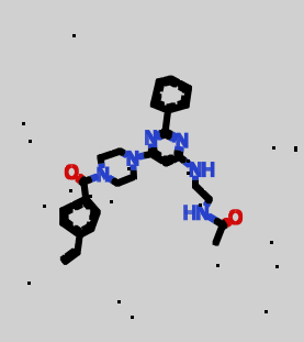 C=Cc1ccc(C(=O)N2CCN(c3cc(NCCNC(C)=O)nc(-c4ccccc4)n3)CC2)cc1